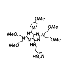 COCCN(CCOC)c1nc(N2CCC(OC)CC2)c2nc(N(CCOC)CCOC)nc(NCCc3cnc[nH]3)c2n1